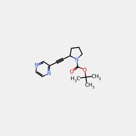 CC(C)(C)OC(=O)N1CCCC1C#Cc1cnccn1